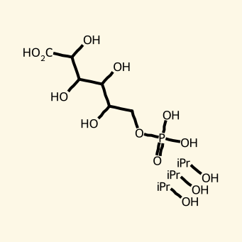 CC(C)O.CC(C)O.CC(C)O.O=C(O)C(O)C(O)C(O)C(O)COP(=O)(O)O